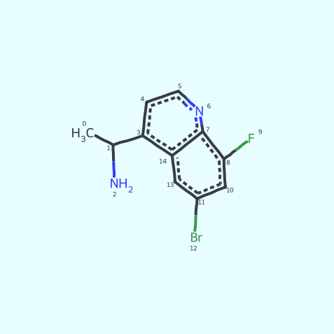 CC(N)c1ccnc2c(F)cc(Br)cc12